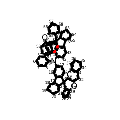 c1ccc(-c2ccccc2N(c2ccc3c(c2)-c2ccccc2C32c3ccccc3Oc3cc4ccccc4cc32)c2ccc3c(c2)C2(c4ccccc4Oc4ccccc42)c2ccccc2-3)cc1